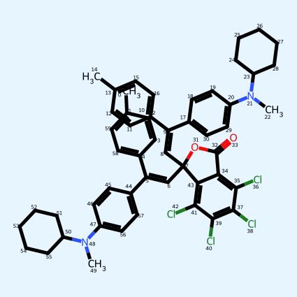 Cc1ccc(C(=CC2(C=C(c3ccc(C)cc3)c3ccc(N(C)C4CCCCC4)cc3)OC(=O)c3c(Cl)c(Cl)c(Cl)c(Cl)c32)c2ccc(N(C)C3CCCCC3)cc2)cc1